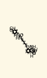 COc1ccc(CNC(=O)NCCCCCCOc2cccc3c2C(N)=NS(=O)(=O)N3)cc1